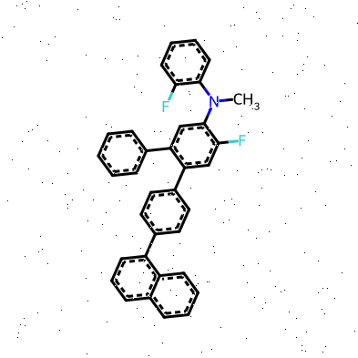 CN(c1ccccc1F)c1cc(-c2ccccc2)c(-c2ccc(-c3cccc4ccccc34)cc2)cc1F